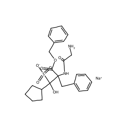 NCC(=O)NC(Cc1ccccc1)(C(=O)OCc1ccccc1)C(O)(C1CCCC1)S(=O)(=O)[O-].[Na+]